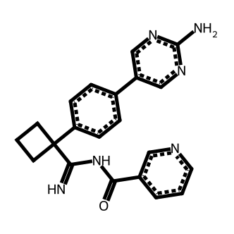 N=C(NC(=O)c1cccnc1)C1(c2ccc(-c3cnc(N)nc3)cc2)CCC1